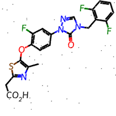 Cc1nc(CC(=O)O)sc1Oc1ccc(-n2ncn(Cc3c(F)cccc3F)c2=O)cc1F